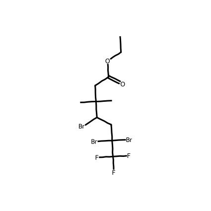 CCOC(=O)CC(C)(C)C(Br)CC(Br)(Br)C(F)(F)F